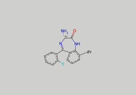 CC(C)c1cccc2c1NC(=O)[C@@H](N)N=C2c1ccccc1F